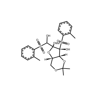 CO[C@]1(C(O)S(=O)(=O)c2ccccc2C)O[C@H]2COC(C)(C)O[C@H]2[C@@]1(O)S(=O)(=O)c1ccccc1C